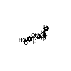 O=C(O)c1ccc(C(=O)Nc2ccc(-n3nc(-c4cccnc4)cc3C(F)(F)F)cn2)cc1